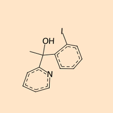 CC(O)(c1ccccn1)c1ccccc1I